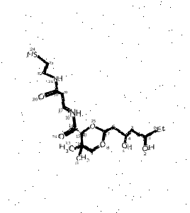 CCC(O)CC(O)CC1OCC(C)(C)[C@H](C(=O)NCCC(=O)NCCS)O1